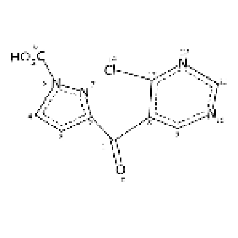 O=C(c1ccn(C(=O)O)n1)c1cncnc1Cl